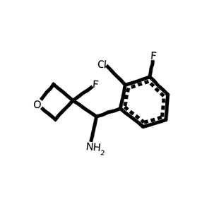 NC(c1cccc(F)c1Cl)C1(F)COC1